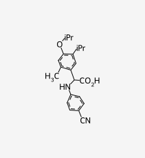 Cc1cc(OC(C)C)c(C(C)C)cc1C(Nc1ccc(C#N)cc1)C(=O)O